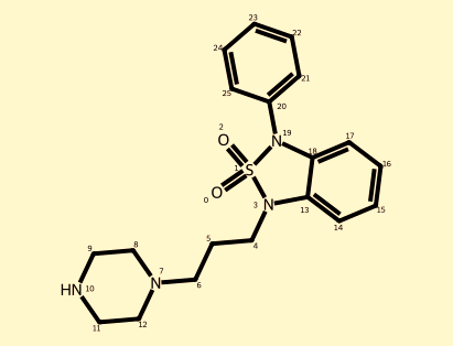 O=S1(=O)N(CCCN2CCNCC2)c2ccccc2N1c1ccccc1